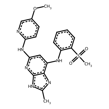 COc1ccc(Nc2cc(Nc3ccccc3S(C)(=O)=O)c3nc(C)[nH]c3n2)nc1